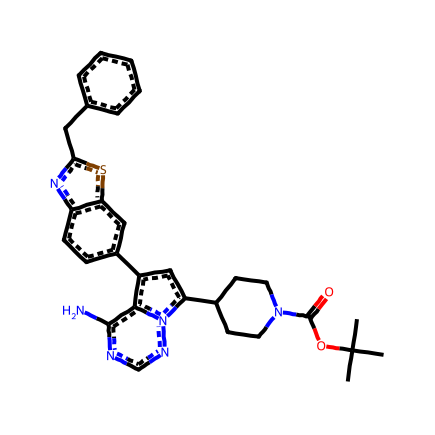 CC(C)(C)OC(=O)N1CCC(c2cc(-c3ccc4nc(Cc5ccccc5)sc4c3)c3c(N)ncnn23)CC1